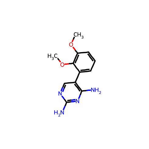 COc1cccc(-c2cnc(N)nc2N)c1OC